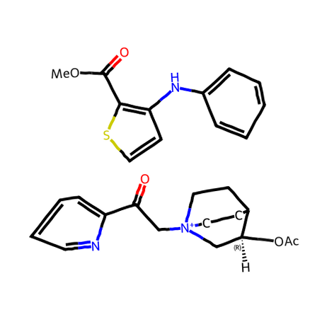 CC(=O)O[C@H]1C[N+]2(CC(=O)c3ccccn3)CCC1CC2.COC(=O)c1sccc1Nc1ccccc1